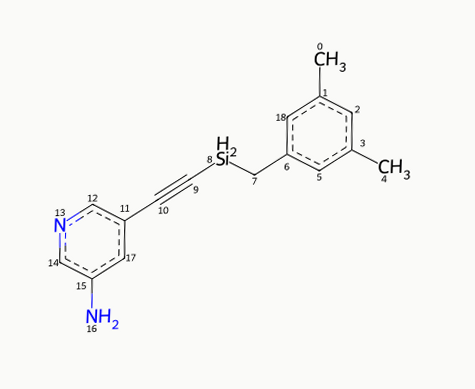 Cc1cc(C)cc(C[SiH2]C#Cc2cncc(N)c2)c1